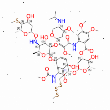 C=C(OC)C(=O)Nc1cc(OC)c(OC)cc1C(=O)O[C@H]1CC(O[C@@H]2C(=O)C(NC(=O)OC)=C3/C(=C\CSSSC)[C@]2(O)C=C[C@@H]3O[C@]2(C)O[C@@H](C)[C@@H](NOC3C[C@H](O)[C@H](SC)[C@@H](C)O3)[C@H](O)[C@H]2O[C@H]2C[C@H](OC)[C@@H](NC(C)C)CO2)O[C@@H](C)[C@@H]1O